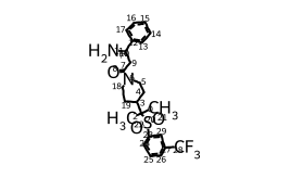 CC(C)(C1CCN(C(=O)C[C@@H](N)c2ccccc2)CC1)S(=O)(=O)c1cccc(C(F)(F)F)c1